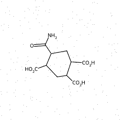 NC(=O)C1CC(C(=O)O)C(C(=O)O)CC1C(=O)O